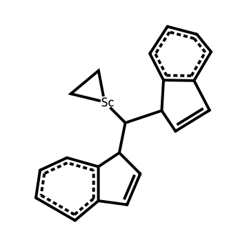 C1=CC([CH](C2C=Cc3ccccc32)[Sc]2[CH2][CH2]2)c2ccccc21